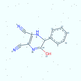 N#CC1=C(C#N)NC(c2ccccc2)C(O)=N1